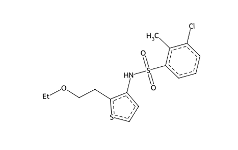 CCOCCc1sccc1NS(=O)(=O)c1cccc(Cl)c1C